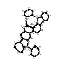 O=c1oc2cc3c4ccccc4n(-c4ccccc4)c3cc2c2ccc3c4ccccc4n(-c4ccccc4)c3c12